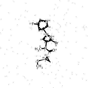 CS[C@@H]1C[C@H]1C(=O)N(C)c1cn(-c2cncc(F)c2)nc1Br